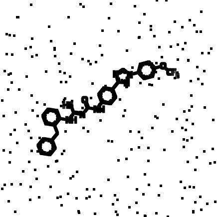 O=C(/N=C(\S)Nc1ccccc1Cc1ccccc1)Nc1ccc(-c2ncn(-c3ccc(OC(F)(F)F)cc3)n2)cc1